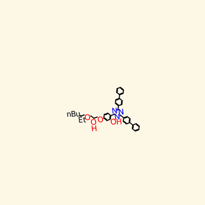 CCCCC(CC)COCC(O)COc1ccc(-c2nc(-c3ccc(-c4ccccc4)cc3)nc(-c3ccc(-c4ccccc4)cc3)n2)c(O)c1